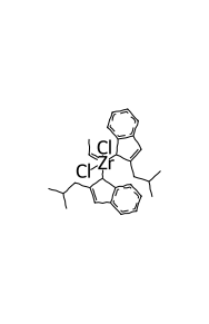 C[CH]=[Zr]([Cl])([Cl])([CH]1C(CC(C)C)=Cc2ccccc21)[CH]1C(CC(C)C)=Cc2ccccc21